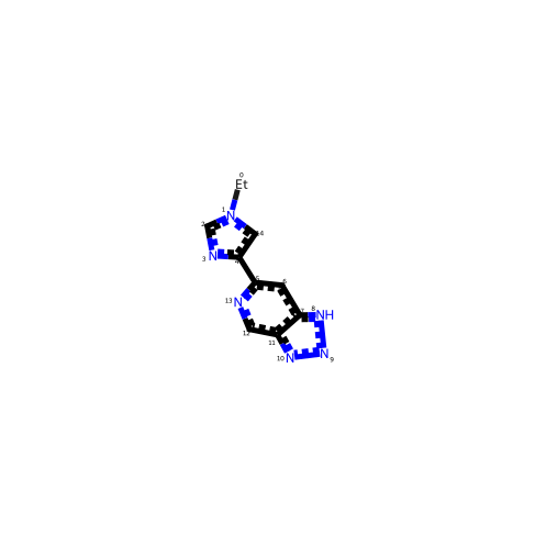 CCn1cnc(-c2cc3[nH]nnc3cn2)c1